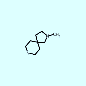 CN1CCC2(CC[N]CC2)C1